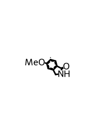 COc1[c]cc2c(c1)CNC2=O